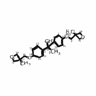 CC1(COc2ccc(C(C)(C)c3ccc(OCC4(C)COC4)cc3)cc2)COC1